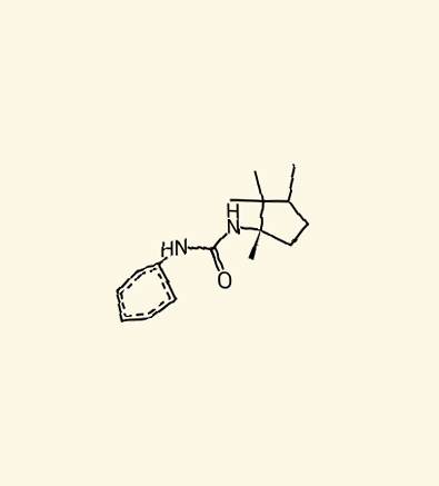 CC1CC[C@](C)(NC(=O)Nc2ccccc2)C1(C)C